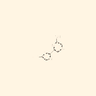 Cc1cnc(-c2cncc(N)n2)s1